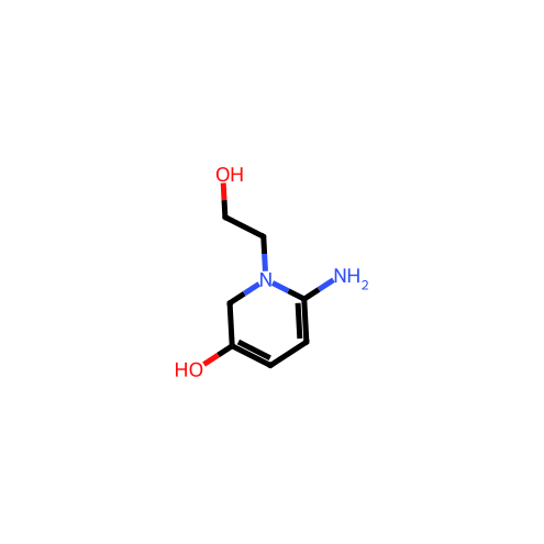 NC1=CC=C(O)CN1CCO